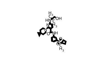 CC(C)(CO)Nc1ccc(C(=O)Nc2cccc(S(=O)(=O)C3(C)CCC3)c2)c(N2CCC3(CC2)CC3)n1